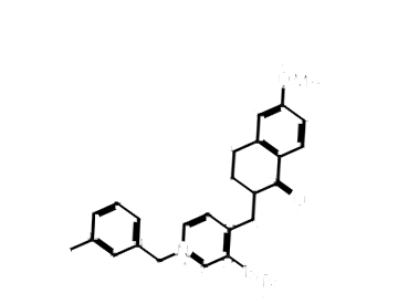 COc1ccc2c(c1)CCC(Cc1cc[n+](Cc3cccc(C)c3)cc1Br)C2=O.[Br-]